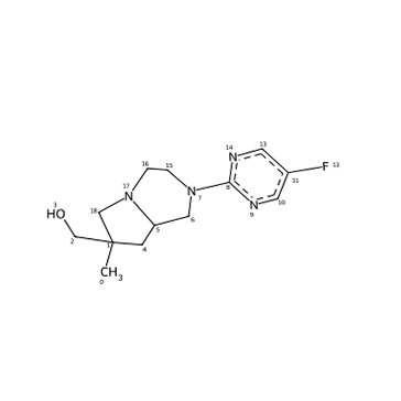 CC1(CO)CC2CN(c3ncc(F)cn3)CCN2C1